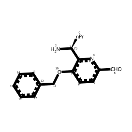 CCC[C@H](N)c1nc(C=O)ccc1OCc1ccccc1